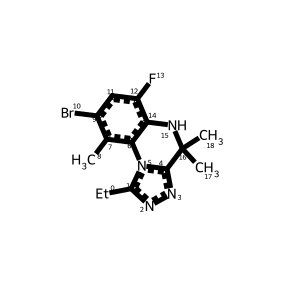 CCc1nnc2n1-c1c(C)c(Br)cc(F)c1NC2(C)C